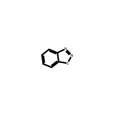 [c]1ccc2nnsc2c1